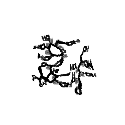 COC(=O)C1=CO[C@@H](O[C@@H]2O[C@H](CO)[C@@H](O)[C@H](O)[C@H]2O)[C@@H]2[C@@H](C)[C@@H](O)C[C@H]12.O=C[C@H](O)[C@@H](O)[C@H](O)[C@H](O)CO